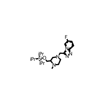 CC(C)[Si](OCC1CN(Cc2nnc3ccc(F)cn23)CCN1C)(C(C)C)C(C)C